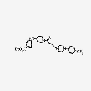 CCOC(=O)c1ccc(NC2CCN(C(=S)CCCN3CCN(c4ccc(C(F)(F)F)cc4)CC3)CC2)cc1